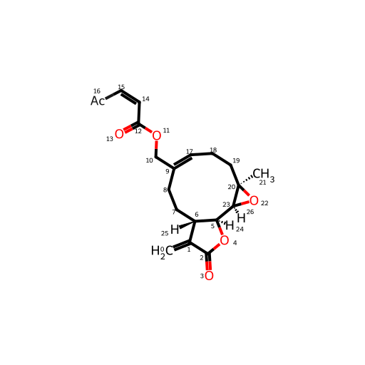 C=C1C(=O)O[C@H]2[C@H]1CC/C(COC(=O)/C=C\C(C)=O)=C\CC[C@@]1(C)O[C@@H]21